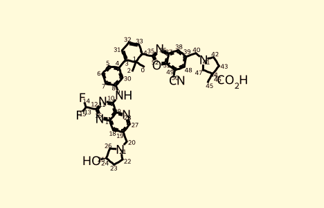 CC1(C)C(c2cccc(Nc3nc(C(F)F)nc4cc(CN5CC[C@@H](O)C5)cnc34)c2)=CC=CC1c1nc2cc(CN3CC[C@](C)(C(=O)O)C3)cc(C#N)c2o1